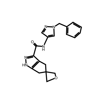 O=C(Nc1cnn(Cc2ccccc2)c1)c1n[nH]c2c1CC1(COC1)C2